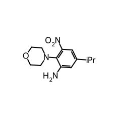 CC(C)c1cc(N)c(N2CCOCC2)c([N+](=O)[O-])c1